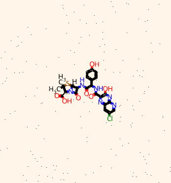 CC1(C)S[C@@H]2C(NC(=O)C(NC(=O)c3nc4cc(Cl)cnc4nc3O)c3ccc(O)cc3)C(=O)N2[C@H]1C(=O)O